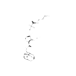 CC(C)Sc1c(OCC(C)(C)C(=O)NCCCN)noc1C(=O)NC1C2CC3CC(C2)CC1C3